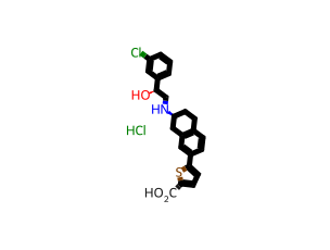 Cl.O=C(O)c1ccc(-c2ccc3c(c2)C[C@@H](NC[C@H](O)c2cccc(Cl)c2)CC3)s1